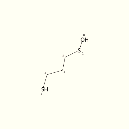 OSCCCS